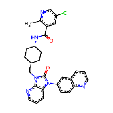 Cc1ncc(Cl)cc1C(=O)N[C@H]1CC[C@H](Cn2c(=O)n(-c3ccc4ncccc4c3)c3cccnc32)CC1